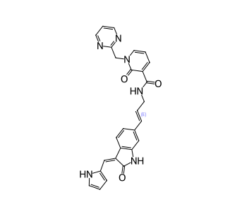 O=C1Nc2cc(/C=C/CNC(=O)c3cccn(Cc4ncccn4)c3=O)ccc2C1=Cc1ccc[nH]1